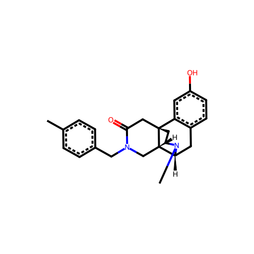 Cc1ccc(CN2C[C@H]3[C@H]4Cc5ccc(O)cc5[C@@]3(CCN4C)CC2=O)cc1